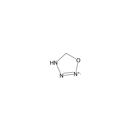 C1NN=[N+]O1